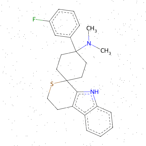 CN(C)C1(c2cccc(F)c2)CCC2(CC1)SCCc1c2[nH]c2ccccc12